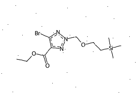 CCOC(=O)c1nn(COCC[Si](C)(C)C)nc1Br